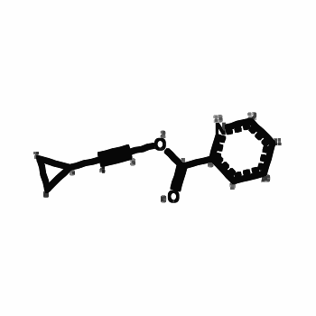 O=C(OC#CC1CC1)c1ccccn1